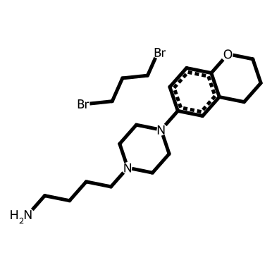 BrCCCBr.NCCCCN1CCN(c2ccc3c(c2)CCCO3)CC1